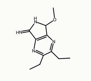 CCc1nc2c(nc1CC)C(OC)NC2=N